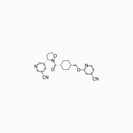 N#Cc1cncc([C@@H]2CCON2C(=O)[C@H]2CC[C@H](COc3cc(C#N)ccn3)CC2)c1